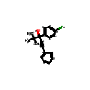 CC(C)(C)C(O)(C#Cc1ccccc1)c1ccc(F)cc1